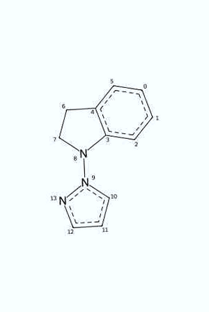 c1ccc2c(c1)CCN2n1cccn1